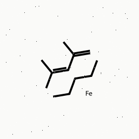 C=C(C)C=C(C)C.CCCCC.[Fe]